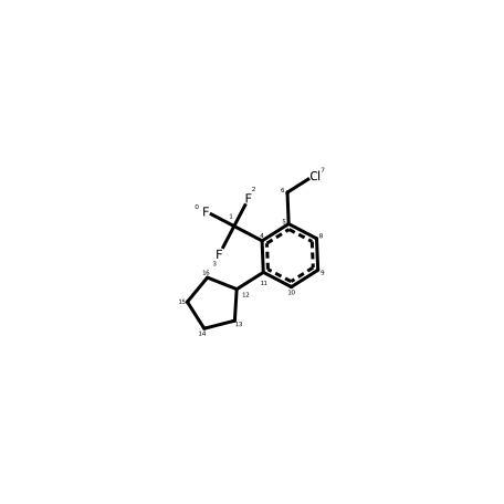 FC(F)(F)c1c(CCl)cccc1C1CCCC1